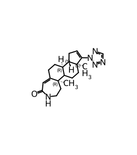 C[C@]12CCNC(=O)C=C1CC[C@@H]1C2CC[C@]2(C)C(n3ncnn3)=CC[C@@H]12